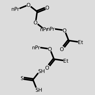 CCCOC(=O)CC.CCCOC(=O)CC.CCCOC(=O)OCCC.S=C(S)S